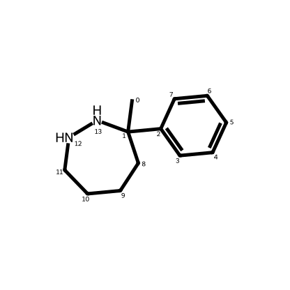 CC1(c2ccccc2)CCCCNN1